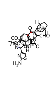 CC(C)(O/N=C(\C(=O)N[C@@H]1C(=O)N2C(C=O)=C(C[N+]3(C)[C@@H]4CC[C@H]3C[C@@H](NC(=O)c3ccc(O)c(O)c3F)C4)CS[C@H]12)c1csc(N)n1)C(=O)O